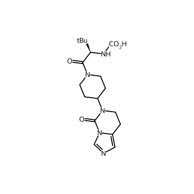 CC(C)(C)[C@@H](NC(=O)O)C(=O)N1CCC(N2CCc3cncn3C2=O)CC1